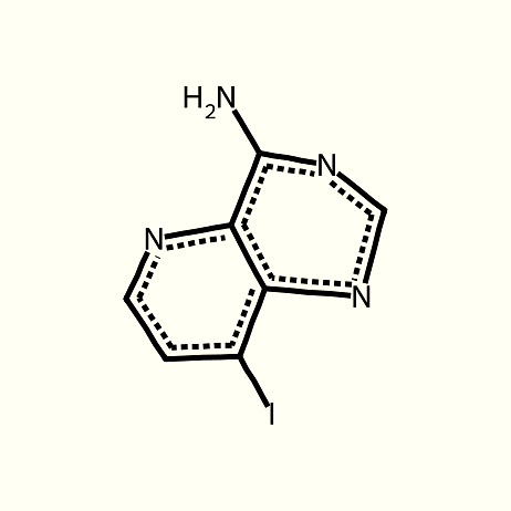 Nc1ncnc2c(I)ccnc12